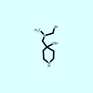 CC(C)CN(C)CC1(O)CCNCC1